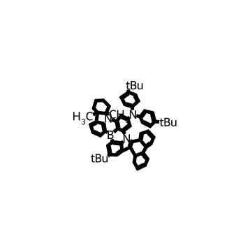 CC(C)(C)c1ccc(N(c2ccc(C(C)(C)C)cc2)c2cc3c4c(c2)-n2c5c(c6cc(C(C)(C)C)cc(c62)B4c2cccc4c2N3C2(C)CCCCC42C)C2CC=CC=C2c2ccccc2-5)cc1